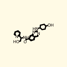 O=C(NC(CO)c1ccccn1)c1ccc2cnc(NC3CCC(O)CC3)nc2c1